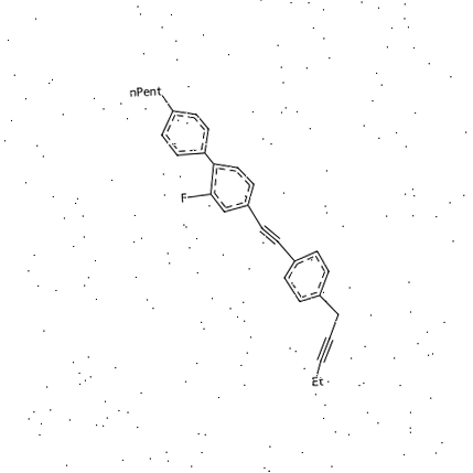 CCC#CCc1ccc(C#Cc2ccc(-c3ccc(CCCCC)cc3)c(F)c2)cc1